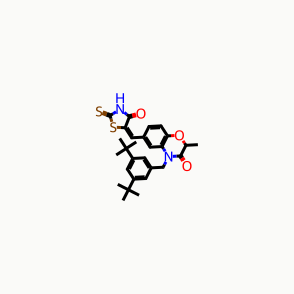 CC1Oc2ccc(C=C3SC(=S)NC3=O)cc2N(Cc2cc(C(C)(C)C)cc(C(C)(C)C)c2)C1=O